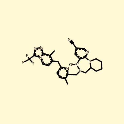 Cc1ccc(Cc2ccn3c(C(F)(F)F)nnc3c2C)nc1CN1CC2CCCCN2c2ncc(C#N)cc2[S+]1[O-]